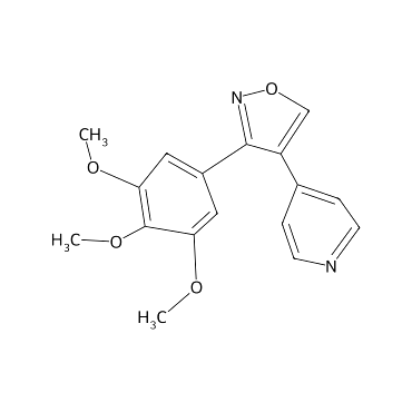 COc1cc(-c2nocc2-c2ccncc2)cc(OC)c1OC